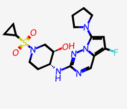 O=S(=O)(C1CC1)N1CC[C@@H](Nc2ncc3c(F)cc(N4CCCC4)n3n2)[C@H](O)C1